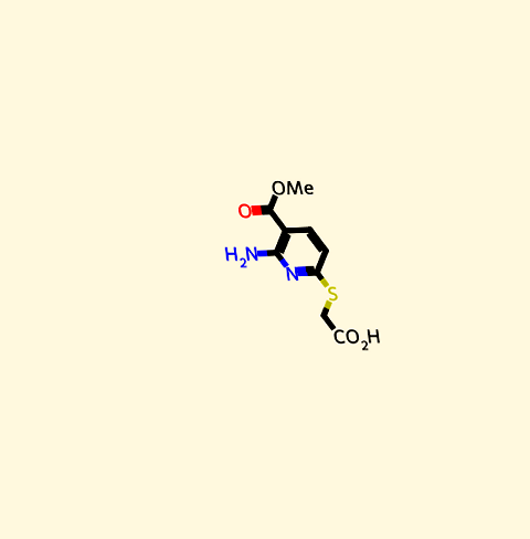 COC(=O)c1ccc(SCC(=O)O)nc1N